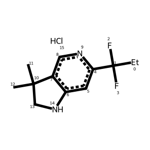 CCC(F)(F)c1cc2c(cn1)C(C)(C)CN2.Cl